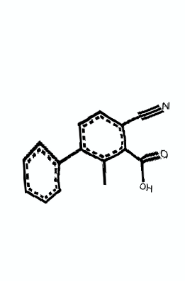 Cc1c(-c2ccccc2)ccc(C#N)c1C(=O)O